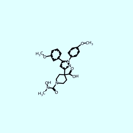 COc1ccc(-n2nc(C3(C(=O)O)CCN(C(=O)N(C)O)CC3)cc2-c2cccc(OC)c2)cc1